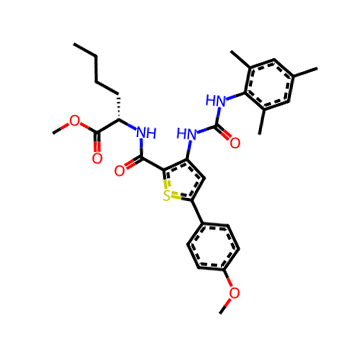 CCCC[C@H](NC(=O)c1sc(-c2ccc(OC)cc2)cc1NC(=O)Nc1c(C)cc(C)cc1C)C(=O)OC